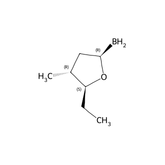 B[C@@H]1C[C@@H](C)[C@H](CC)O1